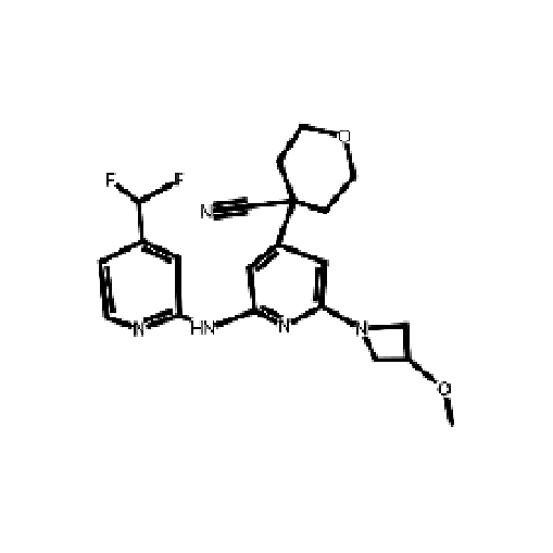 COC1CN(c2cc(C3(C#N)CCOCC3)cc(Nc3cc(C(F)F)ccn3)n2)C1